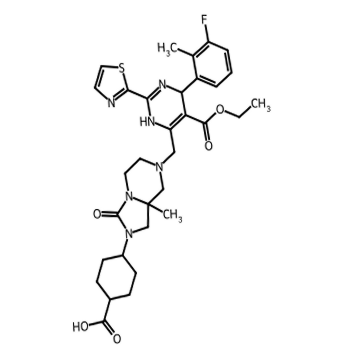 CCOC(=O)C1=C(CN2CCN3C(=O)N(C4CCC(C(=O)O)CC4)CC3(C)C2)NC(c2nccs2)=NC1c1cccc(F)c1C